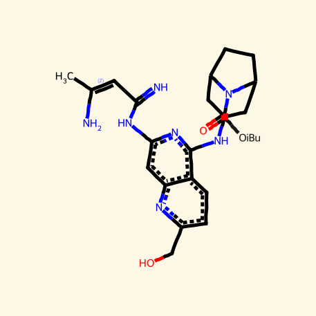 C/C(N)=C/C(=N)Nc1cc2nc(CO)ccc2c(NC2CC3CCC(C2)N3C(=O)OCC(C)C)n1